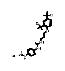 CCC(C)(C)c1ccc(OCCCNC(=O)Nc2ccc(NNC=O)cc2)c(C(C)(C)CC)c1